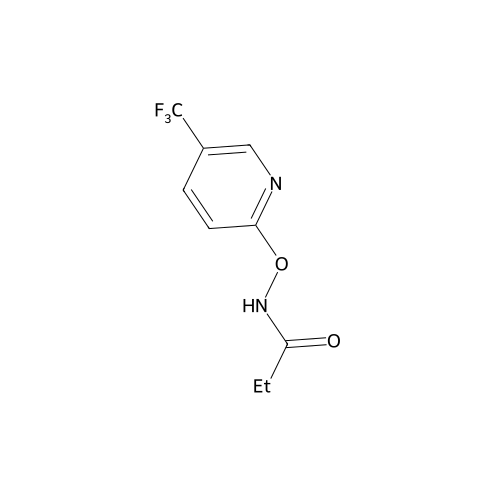 CCC(=O)NOc1ccc(C(F)(F)F)cn1